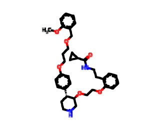 COc1ccccc1COCCCOc1ccc([C@H]2CCNC[C@@H]2OCCOc2ccccc2CCNC(=O)C2CC2)cc1